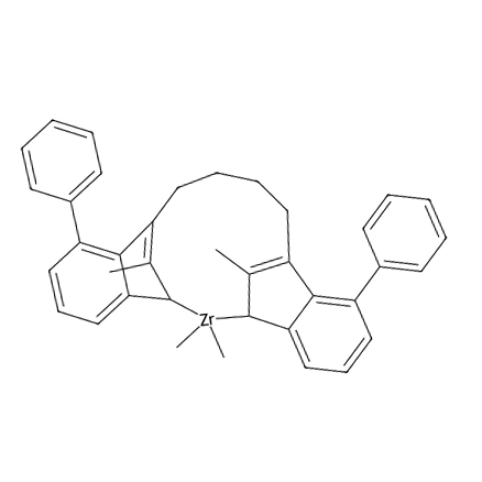 CC1=C2CCCCC3=C(C)[CH](c4cccc(-c5ccccc5)c43)[Zr]([CH3])([CH3])[CH]1c1cccc(-c3ccccc3)c12